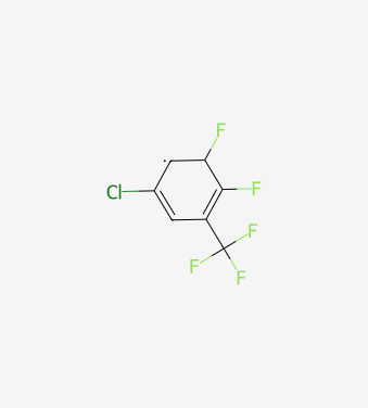 FC1=C(C(F)(F)F)C=C(Cl)[CH]C1F